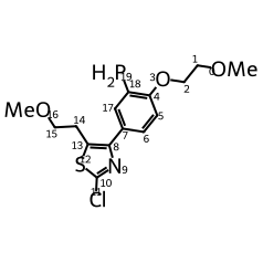 COCCOc1ccc(-c2nc(Cl)sc2CCOC)cc1P